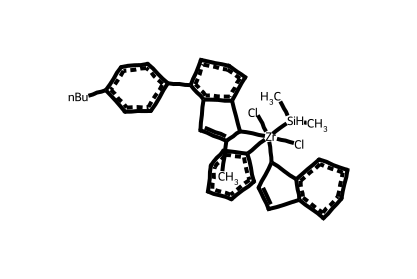 CCCCc1ccc(-c2cccc3c2C=C(C)[CH]3[Zr]([Cl])([Cl])([c]2ccccc2)([CH]2C=Cc3ccccc32)[SiH](C)C)cc1